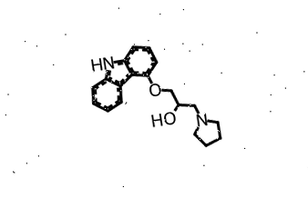 OC(COc1cccc2[nH]c3ccccc3c12)CN1CCCC1